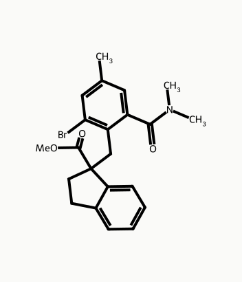 COC(=O)C1(Cc2c(Br)cc(C)cc2C(=O)N(C)C)CCc2ccccc21